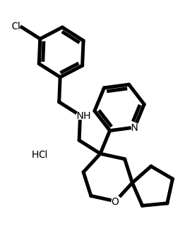 Cl.Clc1cccc(CNCC2(c3ccccn3)CCOC3(CCCC3)C2)c1